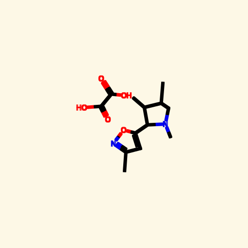 Cc1cc(C2C(C)C(C)CN2C)on1.O=C(O)C(=O)O